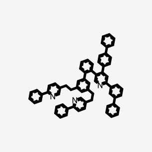 c1ccc(-c2ccc(-c3cc(-c4cccc(-c5ccccc5)c4)ncc3-c3ccccc3-c3cc(CCc4ccc(-c5ccccc5)nc4)cc(CCc4ccc(-c5ccccc5)nc4)c3)cc2)cc1